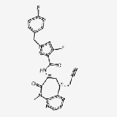 C#CC[C@H]1C[C@@H](NC(=O)c2nn(Cc3ccc(F)cc3)cc2F)C(=O)N(C)c2ncccc21